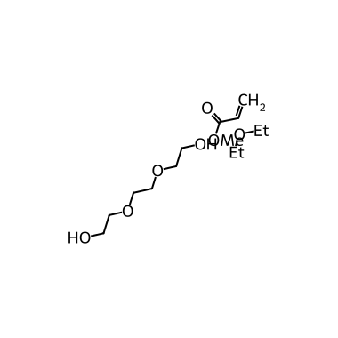 C=CC(=O)OC.CCOCC.OCCOCCOCCO